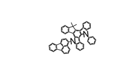 CC1(C)c2ccccc2-c2c1c1c3ccccc3n(-c3ccccc3)c1c1c3ccccc3n(-c3ccc4c5c(cccc35)-c3ccccc3-4)c21